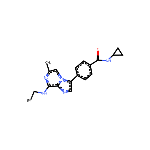 Cc1cn2c(-c3ccc(C(=O)NC4CC4)cc3)cnc2c(NCC(C)C)n1